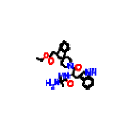 CCOC(=O)CC1CC2(CCN(C(=O)C(Cc3c[nH]c4ccccc34)NC(=O)C(C)(C)N)CC2)c2ccccc21